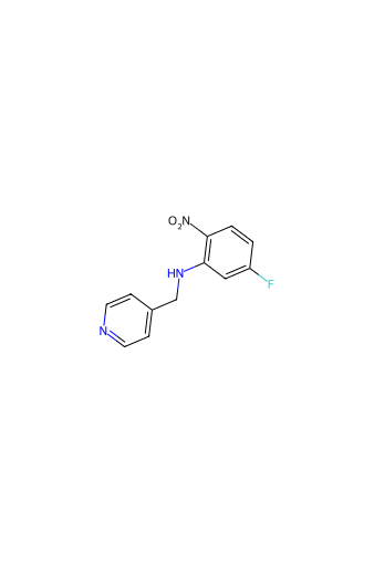 O=[N+]([O-])c1ccc(F)cc1NCc1ccncc1